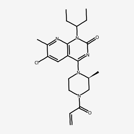 C=CC(=O)N1CCN(c2nc(=O)n(C(CC)CC)c3nc(C)c(Cl)cc23)[C@@H](C)C1